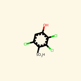 O=S(=O)(O)c1c(Cl)cc(O)c(Cl)c1Cl